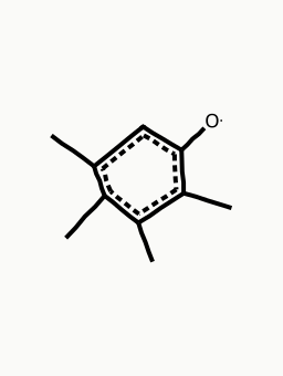 Cc1cc([O])c(C)c(C)c1C